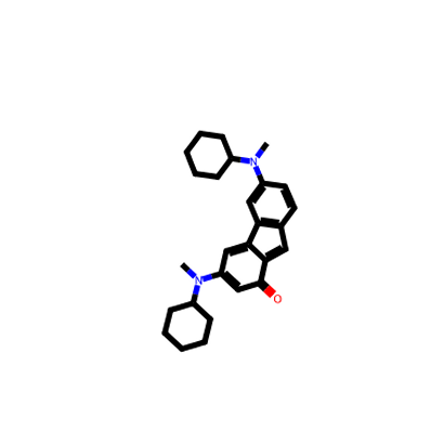 CN(C1=CC(=O)C2=Cc3ccc(N(C)C4CCCCC4)cc3C2=C1)C1CCCCC1